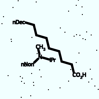 CCCCCCCCCCCCCCCCCC(=O)O.CCCCCCCCCN(C)C(C)C